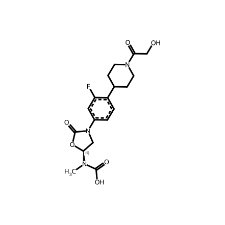 CN(C(=O)O)[C@@H]1CN(c2ccc(C3CCN(C(=O)CO)CC3)c(F)c2)C(=O)O1